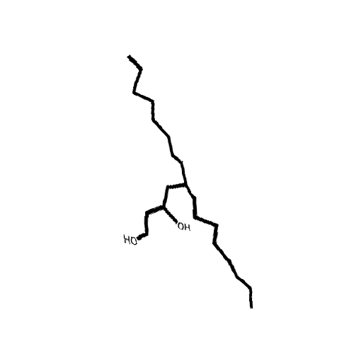 CCCCCCCCC(CCCCCCCC)CC(O)CCO